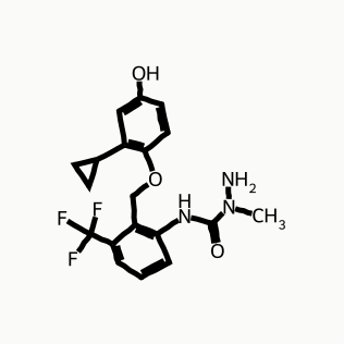 CN(N)C(=O)Nc1cccc(C(F)(F)F)c1COc1ccc(O)cc1C1CC1